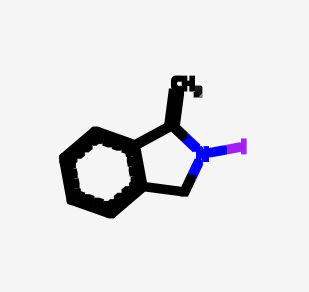 C=C1c2ccccc2CN1I